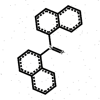 [P]=S(c1cccc2ccccc12)c1cccc2ccccc12